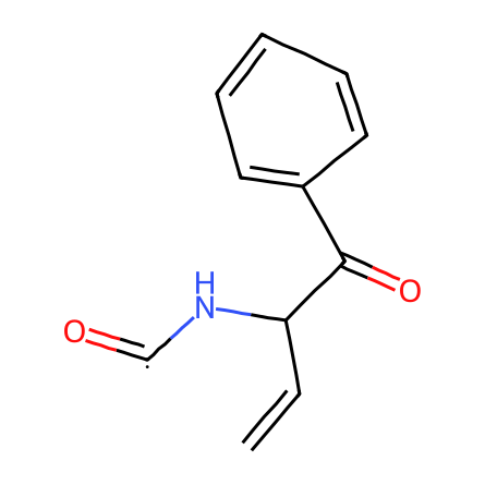 C=CC(N[C]=O)C(=O)c1ccccc1